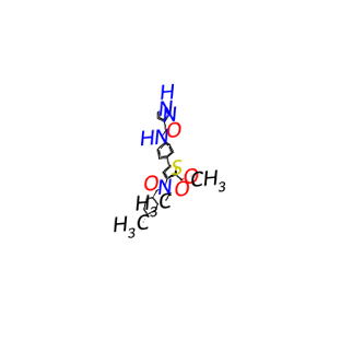 CCN(c1cc(-c2ccc(NC(=O)c3cc[nH]n3)cc2)sc1C(=O)OC)C(=O)[C@H]1CC[C@H](C)CC1